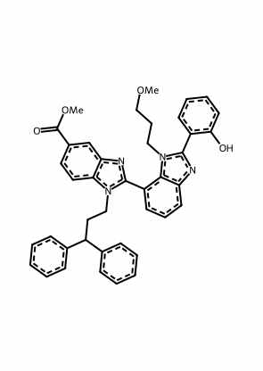 COCCCn1c(-c2ccccc2O)nc2cccc(-c3nc4cc(C(=O)OC)ccc4n3CCC(c3ccccc3)c3ccccc3)c21